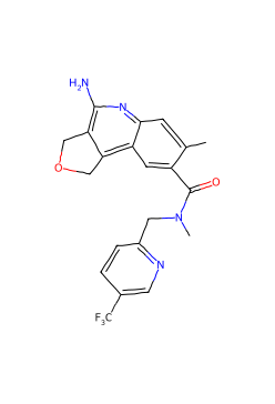 Cc1cc2nc(N)c3c(c2cc1C(=O)N(C)Cc1ccc(C(F)(F)F)cn1)COC3